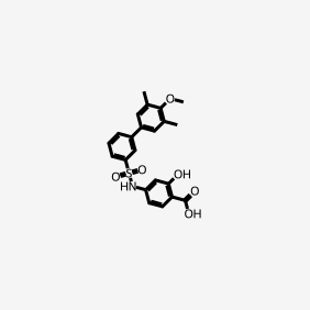 COc1c(C)cc(-c2cccc(S(=O)(=O)Nc3ccc(C(=O)O)c(O)c3)c2)cc1C